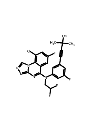 CC(C)(O)C#Cc1cc(F)cc(N(CC(F)F)c2nc3nncn3c3c(Cl)cc(F)cc23)c1